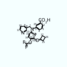 O=C(O)c1cccc(N(Cc2cccnc2)c2ccc(OC(F)F)c(OC3CCC3)n2)c1